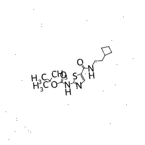 CC(C)(C)OC(=O)Nc1ncc(C(=O)NCCC2CCC2)s1